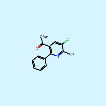 COC(=O)c1cc(Cl)c(C#N)nc1-c1ccccc1